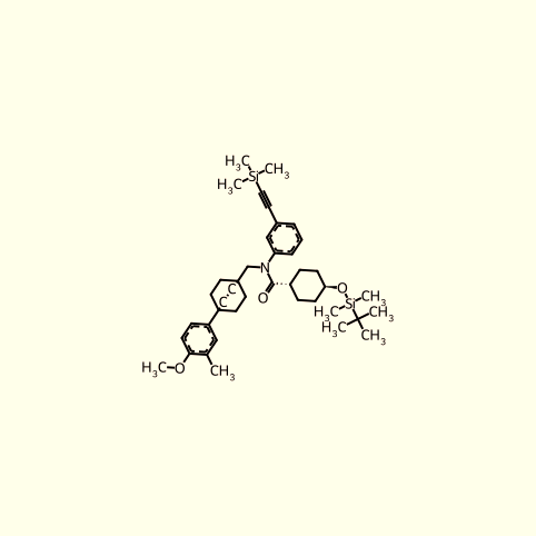 COc1ccc(C23CCC(CN(c4cccc(C#C[Si](C)(C)C)c4)C(=O)[C@H]4CC[C@H](O[Si](C)(C)C(C)(C)C)CC4)(CC2)CC3)cc1C